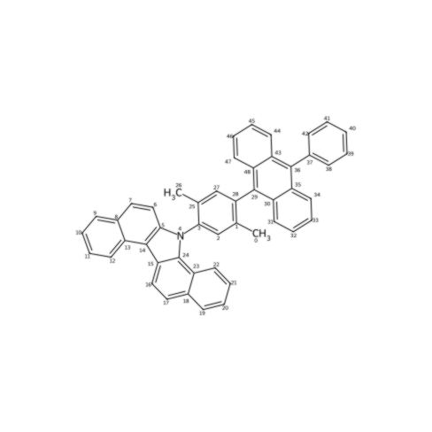 Cc1cc(-n2c3ccc4ccccc4c3c3ccc4ccccc4c32)c(C)cc1-c1c2ccccc2c(-c2ccccc2)c2ccccc12